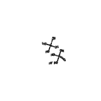 F.O=P(O)(O)O.O[Si](O)(O)O